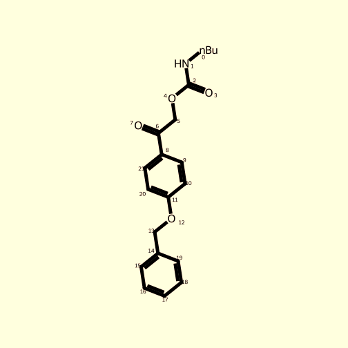 CCCCNC(=O)OCC(=O)c1ccc(OCc2ccccc2)cc1